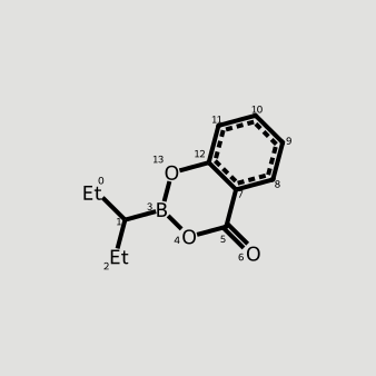 CCC(CC)B1OC(=O)c2ccccc2O1